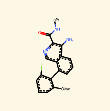 CCCNC(=O)c1ncc2c(-c3c(F)cccc3OC)cccc2c1N